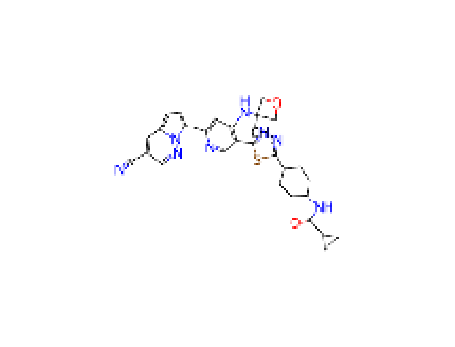 CC1(Nc2cc(-c3ccc4cc(C#N)cnn34)ncc2-c2nnc(C3CCC(NC(=O)C4CC4)CC3)s2)COC1